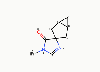 CC(C)N1C=NC2(CC3CC3C2)C1=O